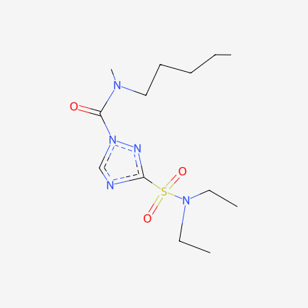 CCCCCN(C)C(=O)n1cnc(S(=O)(=O)N(CC)CC)n1